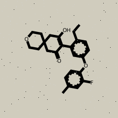 CCc1ccc(Oc2ccc(C)cc2F)cc1C1=C(O)CC2(CCOCC2)CC1=O